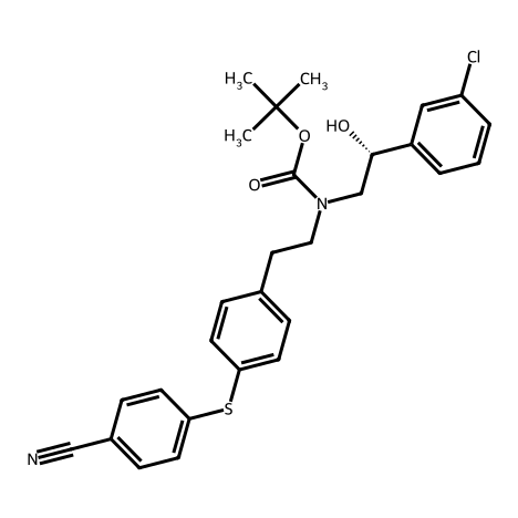 CC(C)(C)OC(=O)N(CCc1ccc(Sc2ccc(C#N)cc2)cc1)C[C@H](O)c1cccc(Cl)c1